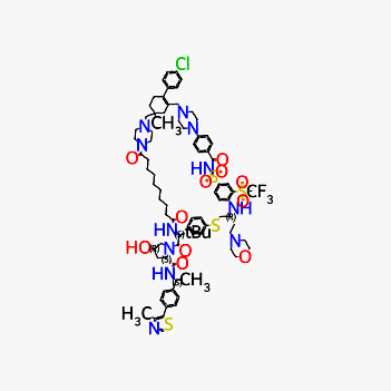 Cc1ncsc1-c1ccc([C@H](C)NC(=O)[C@@H]2C[C@@H](O)CN2C(=O)[C@@H](NC(=O)CCCCCCCCC(=O)N2CCN(CC3(C)CCC(c4ccc(Cl)cc4)=C(CN4CCN(c5ccc(C(=O)NS(=O)(=O)c6ccc(N[C@H](CCN7CCOCC7)CSc7ccccc7)c(S(=O)(=O)C(F)(F)F)c6)cc5)CC4)C3)CC2)C(C)(C)C)cc1